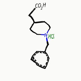 Cl.O=C(O)CC1CCN(Cc2ccccc2)CC1